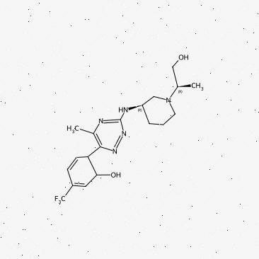 Cc1nc(N[C@@H]2CCCN([C@H](C)CO)C2)nnc1C1C=CC(C(F)(F)F)=CC1O